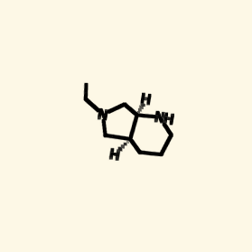 CCN1C[C@@H]2CCCN[C@@H]2C1